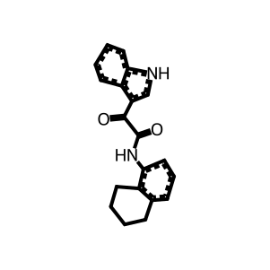 O=C(Nc1cccc2c1CCCC2)C(=O)c1c[nH]c2ccccc12